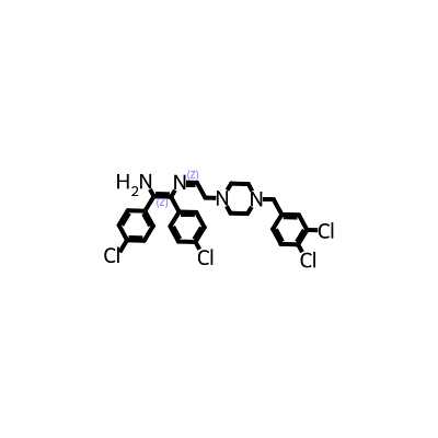 N/C(=C(\N=C/CN1CCN(Cc2ccc(Cl)c(Cl)c2)CC1)c1ccc(Cl)cc1)c1ccc(Cl)cc1